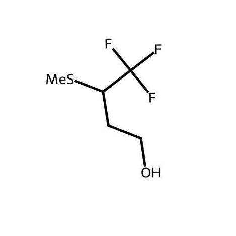 CSC(CCO)C(F)(F)F